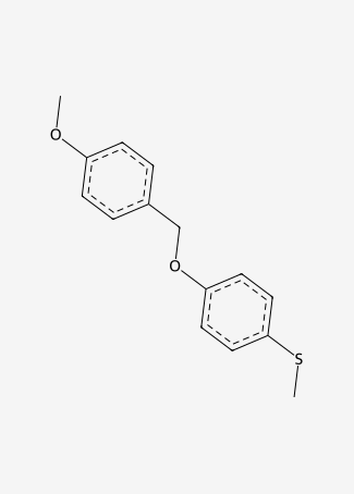 COc1ccc(COc2ccc(SC)cc2)cc1